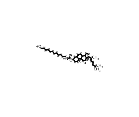 CC(C)CCC[C@@H](C)[C@H]1CCC2C3CC=C4CC(OC(=O)NCCCCCCCCCCCCO)CC[C@]4(C)C3CC[C@@]21C